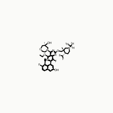 [2H]C([2H])([2H])N1CC[C@H](C(F)F)[C@](C)(COc2nc(N3CCOC[C@@](C)(O)C3)c3c(OCC)nc(-c4cc(O)cc5ccc(F)c(C#C)c45)c(F)c3n2)C1